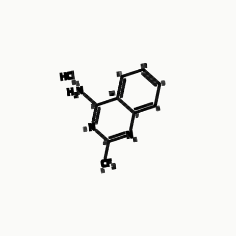 Cl.Nc1nc(C(F)(F)F)nc2ccccc12